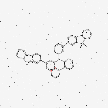 CC1(C)c2ccccc2-c2ccc(-c3cccc(N(c4cccc(-c5ccc6c(c5)oc5ccccc56)c4)c4ccccc4-c4ccccc4)c3)cc21